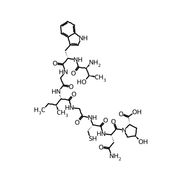 CC[C@H](C)[C@H](NC(=O)CNC(=O)[C@H](Cc1c[nH]c2ccccc12)NC(=O)[C@@H](N)[C@@H](C)O)C(=O)NCC(=O)N[C@@H](CS)C(=O)N[C@@H](CC(N)=O)C(=O)N1C[C@H](O)C[C@H]1C(=O)O